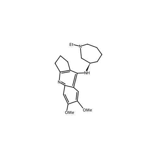 CCN1CCCC[C@@H](Nc2c3c(nc4cc(OC)c(OC)cc24)CCC3)C1